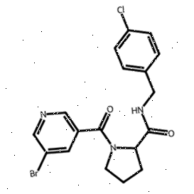 O=C(NCc1ccc(Cl)cc1)C1CCCN1C(=O)c1cncc(Br)c1